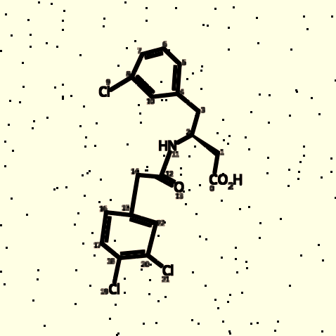 O=C(O)C[C@H](Cc1cccc(Cl)c1)NC(=O)Cc1ccc(Cl)c(Cl)c1